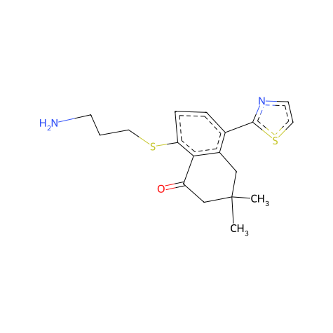 CC1(C)CC(=O)c2c(SCCCN)ccc(-c3nccs3)c2C1